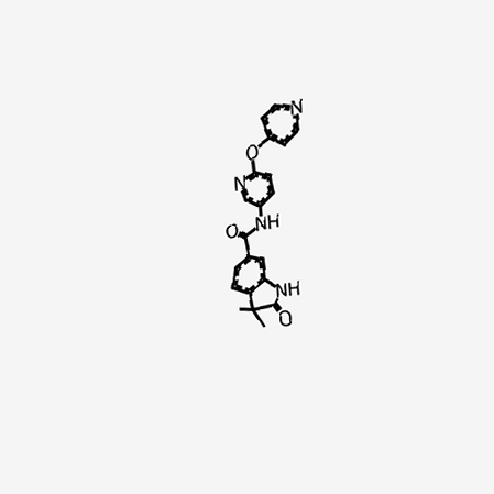 CC1(C)C(=O)Nc2cc(C(=O)Nc3ccc(Oc4ccncc4)nc3)ccc21